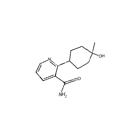 CC1(O)CCC(c2ncccc2C(N)=O)CC1